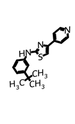 CC(C)(C)c1cccc(Nc2nc(-c3ccncc3)cs2)c1